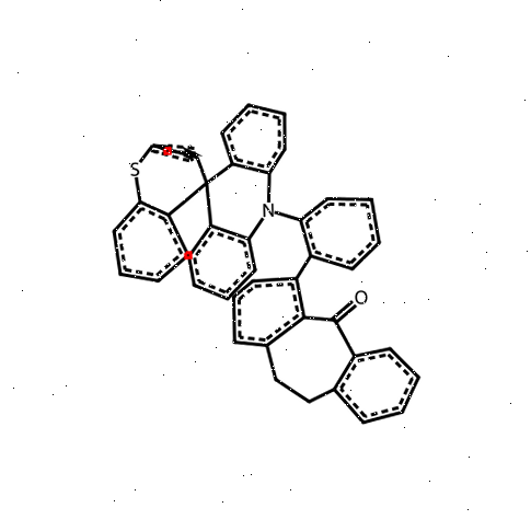 O=C1c2ccccc2CCc2cccc(-c3ccccc3N3c4ccccc4C4(c5ccccc5Sc5ccccc54)c4ccccc43)c21